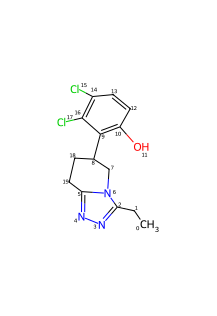 CCc1nnc2n1CC(c1c(O)ccc(Cl)c1Cl)CC2